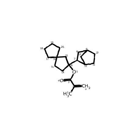 C=C(C)C(=O)OC1(C2CC3CCC2C3)CCC2(CCCC2)C1